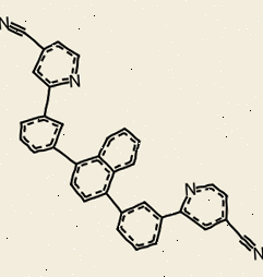 N#Cc1ccnc(-c2cccc(-c3ccc(-c4cccc(-c5cc(C#N)ccn5)c4)c4ccccc34)c2)c1